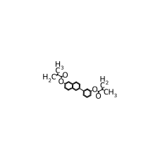 C=C(C)C(=O)Oc1cccc(-c2ccc3cc(OC(=O)C(=C)C)ccc3c2)c1